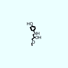 CCOCC(O)CNc1ccc(O)cc1